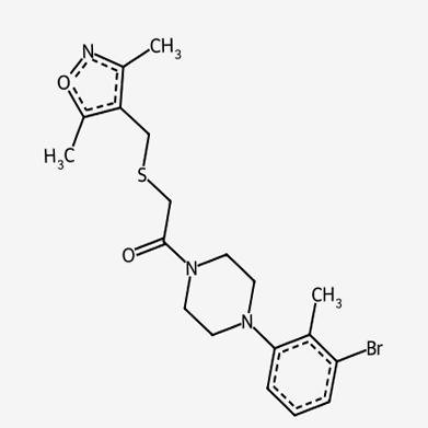 Cc1noc(C)c1CSCC(=O)N1CCN(c2cccc(Br)c2C)CC1